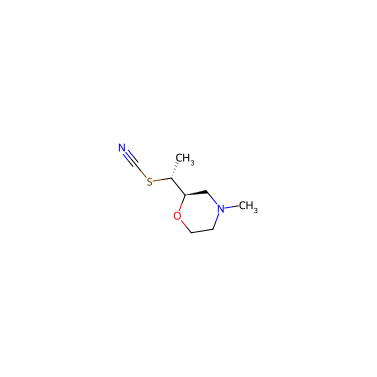 C[C@@H](SC#N)[C@H]1CN(C)CCO1